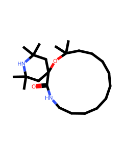 CC1(C)CC2(CC(C)(C)N1)OC(C)(C)CCCCCCCCCCNC2=O